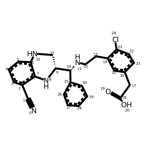 N#Cc1cccc2c1N[C@@H]([C@H](NCCc1cc(CC(=O)O)ccc1Cl)c1ccccc1)CN2